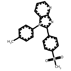 Cc1ccc(-n2c(-c3ccc(S(C)(=O)=O)cc3)nc3ncccc32)cc1